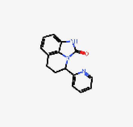 O=c1[nH]c2cccc3c2n1C(c1ccccn1)CC3